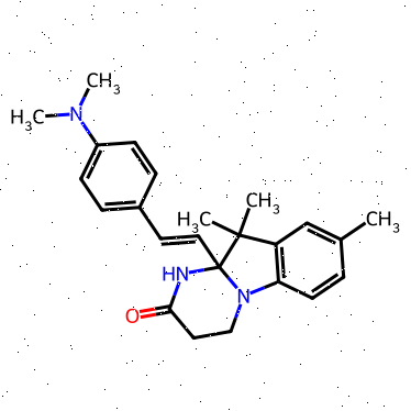 Cc1ccc2c(c1)C(C)(C)C1(/C=C/c3ccc(N(C)C)cc3)NC(=O)CCN21